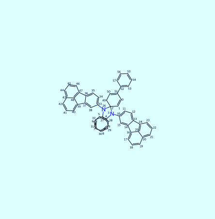 C1=CC(N(c2ccccc2)c2ccc3c(c2)-c2cccc4cccc-3c24)(N(c2ccccc2)c2ccc3c(c2)-c2cccc4cccc-3c24)CC=C1c1ccccc1